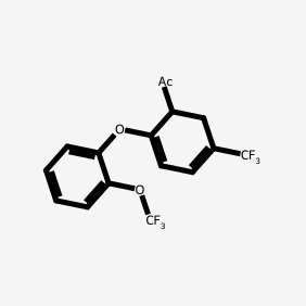 CC(=O)C1CC(C(F)(F)F)=CC=C1Oc1ccccc1OC(F)(F)F